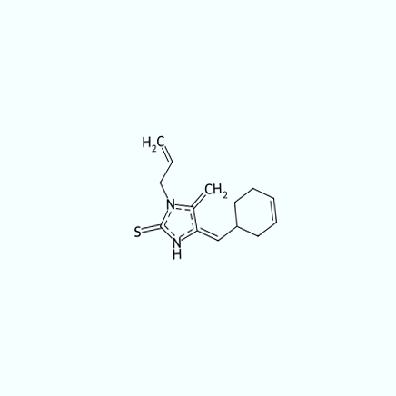 C=CCn1c(=S)[nH]/c(=C/C2CC=CCC2)c1=C